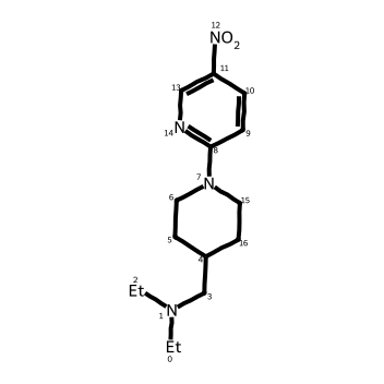 CCN(CC)CC1CCN(c2ccc([N+](=O)[O-])cn2)CC1